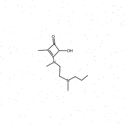 CCCN(C)CCN(C)C1=C(C)C(=O)C1O